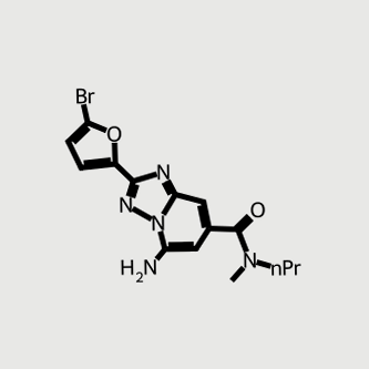 CCCN(C)C(=O)c1cc(N)n2nc(-c3ccc(Br)o3)nc2c1